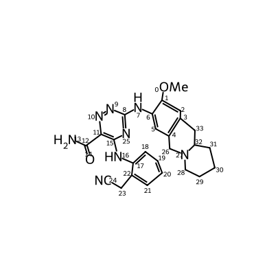 COc1cc2c(cc1Nc1nnc(C(N)=O)c(Nc3ccccc3CC#N)n1)CN1CCCCC1C2